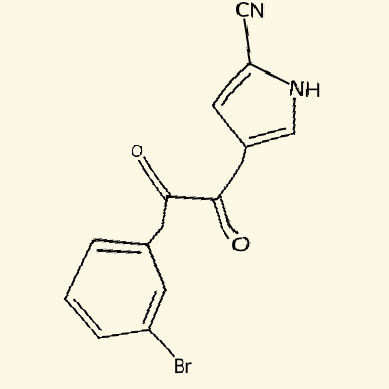 N#Cc1cc(C(=O)C(=O)c2cccc(Br)c2)c[nH]1